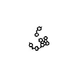 Cc1ccc(C(=O)c2ccc(Oc3ccc(C4(c5ccc(Oc6ccc(C(=O)c7ccc(C)cc7)cc6)cc5)c5ccccc5-c5ccccc54)cc3)cc2)cc1